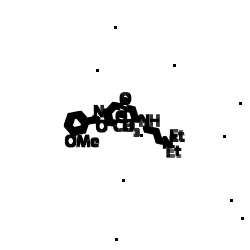 CCN(CC)CCCNC(=O)CS(=O)(=O)Cc1nc(-c2cccc(OC)c2)oc1C